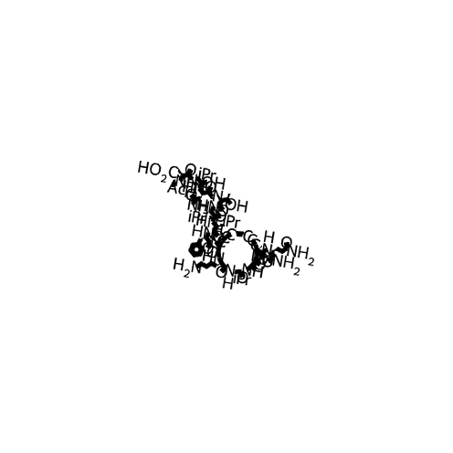 CC(=O)CN[C@@H](CC(=O)O)C(=O)N[C@H](C(=O)N[C@@H](CC(N)=O)C(=O)CN[C@H](C(=O)N[C@@H](CC(C)C)C(=O)N[C@@H](CC(C)C)C(=O)N[C@@H](Cc1ccccc1)C(=O)N[C@@]1(C)CCC/C=C\CCC[C@@](C)(C(=O)N[C@@H](CCC(N)=O)C(N)=O)NC(=O)C(C)NC(=O)[C@H](C(C)C)NC(=O)[C@H](CCCCN)NC1=O)[C@@H](C)O)C(C)C